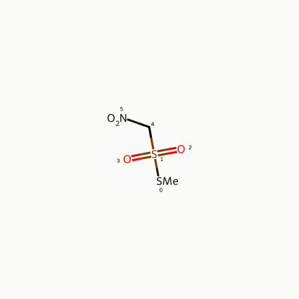 CSS(=O)(=O)C[N+](=O)[O-]